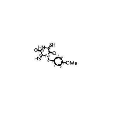 COc1ccc(CN2C(=O)C(S)NC(=O)C2S)cc1